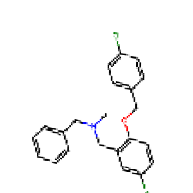 CN(Cc1ccccc1)Cc1cc(Br)ccc1OCc1ccc(Cl)cc1